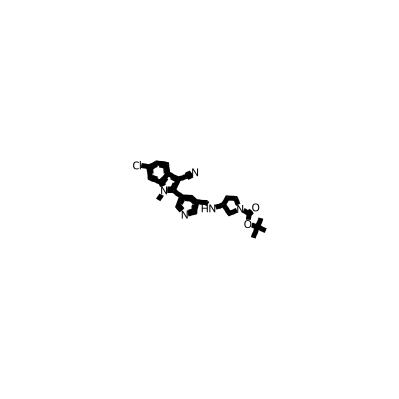 Cn1c(-c2cncc(CNC3CCN(C(=O)OC(C)(C)C)C3)c2)c(C#N)c2ccc(Cl)cc21